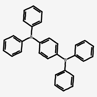 c1ccc(B(c2ccccc2)c2ccc(B(c3ccccc3)c3ccccc3)cc2)cc1